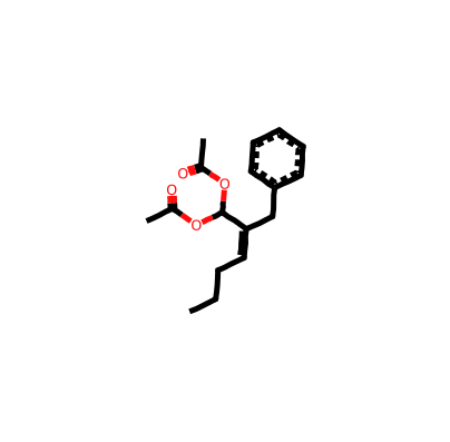 CCCC=C(Cc1ccccc1)C(OC(C)=O)OC(C)=O